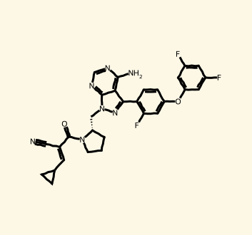 N#C/C(=C\C1CC1)C(=O)N1CCC[C@H]1Cn1nc(-c2ccc(Oc3cc(F)cc(F)c3)cc2F)c2c(N)ncnc21